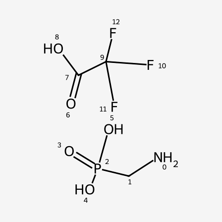 NCP(=O)(O)O.O=C(O)C(F)(F)F